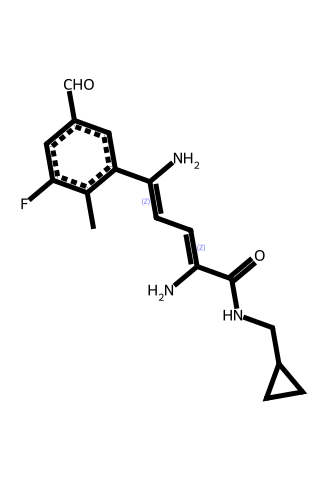 Cc1c(F)cc(C=O)cc1/C(N)=C/C=C(\N)C(=O)NCC1CC1